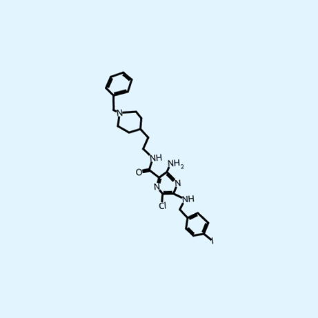 Nc1nc(NCc2ccc(I)cc2)c(Cl)nc1C(=O)NCCC1CCN(Cc2ccccc2)CC1